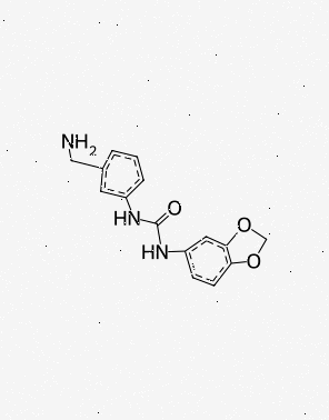 NCc1cccc(NC(=O)Nc2ccc3c(c2)OCO3)c1